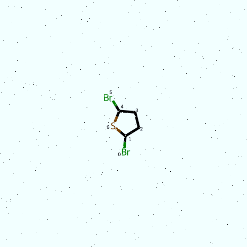 BrC1CCC(Br)S1